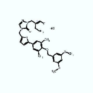 COc1cc(COc2c(C)cc(-c3ccc(Cn4cnn(C/C(=C/F)CN)c4=O)s3)cc2C)cc(OC)c1.Cl